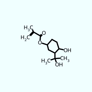 C=C(C)C(=O)OC1CCC(O)C(C(C)(C)O)C1